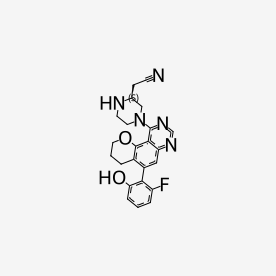 N#CC[C@H]1CN(c2ncnc3cc(-c4c(O)cccc4F)c4c(c23)OCCC4)CCN1